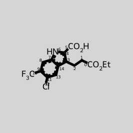 CCOC(=O)CCc1c(C(=O)O)[nH]c2cc(C(F)(F)F)c(Cl)cc12